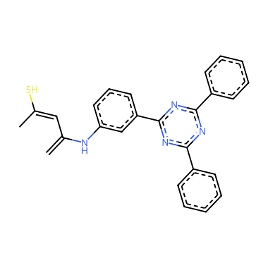 C=C(/C=C(\C)S)Nc1cccc(-c2nc(-c3ccccc3)nc(-c3ccccc3)n2)c1